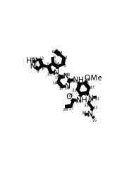 C#C/C=C\c1c(C)c(-c2cn[nH]c2)cn1-c1ccnc(Nc2cc(NC(=O)C=C)c(N(C)CCN(C)C)cc2OC)n1